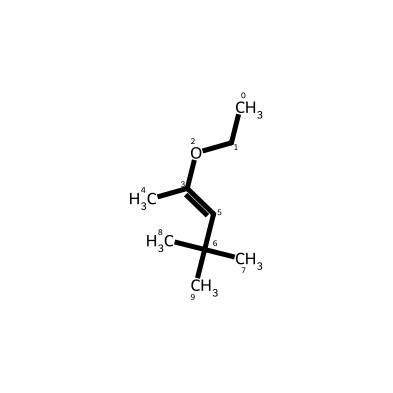 CCOC(C)=CC(C)(C)C